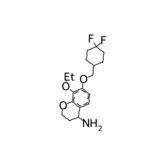 CCOc1c(OCC2CCC(F)(F)CC2)ccc2c1OCCC2N